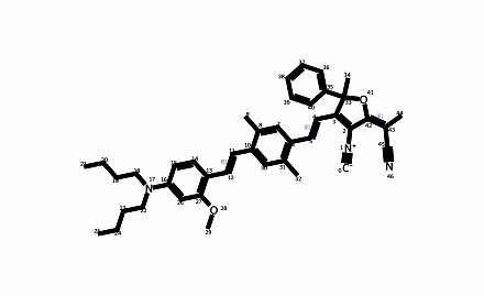 [C-]#[N+]C1=C(/C=C/c2cc(C)c(/C=C/c3ccc(N(CCCC)CCCC)cc3OC)cc2C)C(C)(c2ccccc2)O/C1=C(\C)C#N